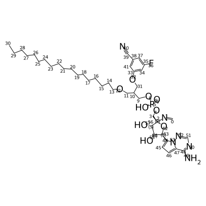 C=N[C@]1(COP(=O)(O)OCC(COCCCCCCCCCCCCCCCCCC)COc2cc(F)cc(C#N)c2)O[C@@H](c2ccc3c(N)ncnn23)[C@H](O)[C@@H]1O